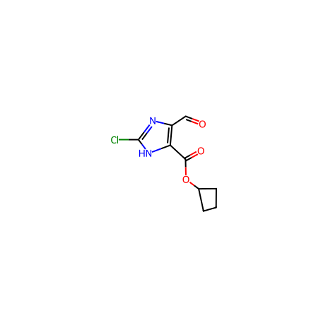 O=Cc1nc(Cl)[nH]c1C(=O)OC1CCC1